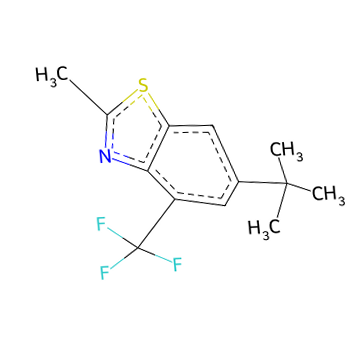 Cc1nc2c(C(F)(F)F)cc(C(C)(C)C)cc2s1